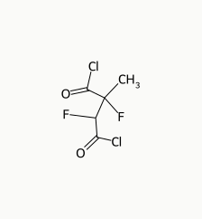 CC(F)(C(=O)Cl)C(F)C(=O)Cl